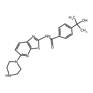 CC(C)(O)c1ccc(C(=O)Nc2nc3ccc(N4CCNCC4)nc3s2)cc1